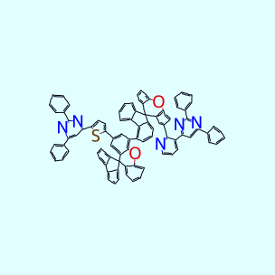 c1ccc(-c2cc(-c3ccc(-c4cc(-c5cccc6c5-c5ccccc5C65c6ccccc6Oc6ccc(-c7ncccc7-c7cc(-c8ccccc8)nc(-c8ccccc8)n7)cc65)c5c(c4)C4(c6ccccc6O5)c5ccccc5-c5ccccc54)s3)nc(-c3ccccc3)n2)cc1